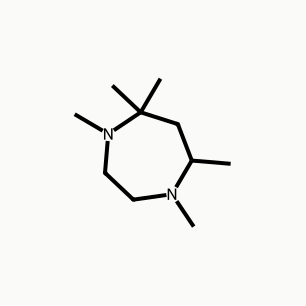 CC1CC(C)(C)N(C)CCN1C